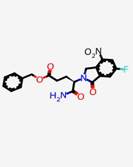 NC(=O)[C@@H](CCC(=O)OCc1ccccc1)N1Cc2c(cc(F)cc2[N+](=O)[O-])C1=O